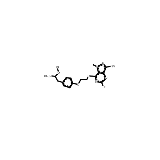 CCCc1nn(C)c2c(OCCOc3ccc(CC(OCC)C(=O)O)cc3)nc(CC)nc12